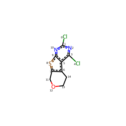 Clc1nc(Cl)c2c3c(sc2n1)COCC3